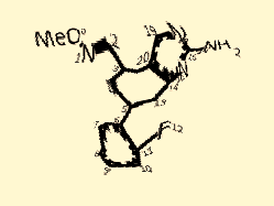 CON=CC1CC(c2ccccc2F)Cc2nc(N)ncc21